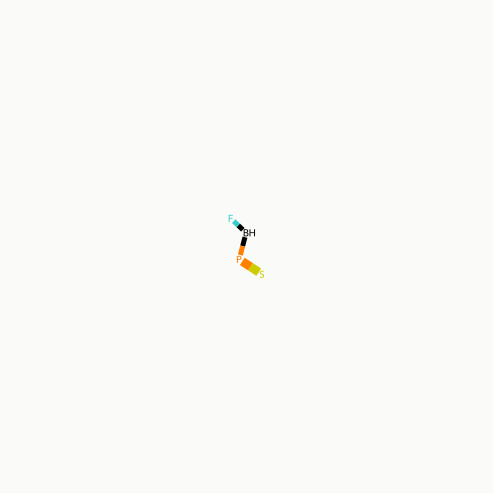 FBP=S